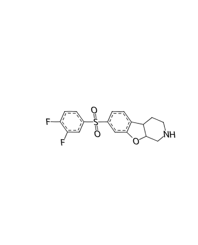 O=S(=O)(c1ccc(F)c(F)c1)c1ccc2c(c1)OC1CNCCC21